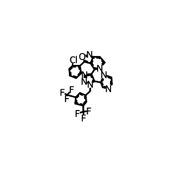 FC(F)(F)c1cc(Cn2nnc(-c3nccc4noc(-c5ccccc5Cl)c34)c2-c2cnccn2)cc(C(F)(F)F)c1